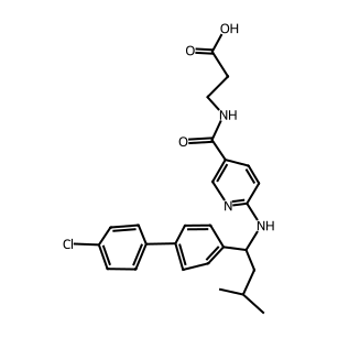 CC(C)CC(Nc1ccc(C(=O)NCCC(=O)O)cn1)c1ccc(-c2ccc(Cl)cc2)cc1